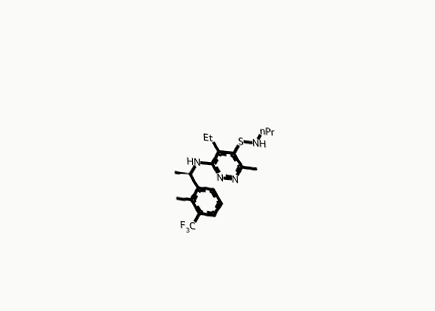 CCCNSc1c(C)nnc(N[C@H](C)c2cccc(C(F)(F)F)c2C)c1CC